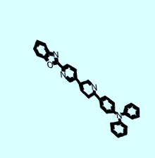 C1=NC(c2ccc(N(c3ccccc3)c3ccccc3)cc2)CC=C1c1ccc(-c2nc3ccccc3o2)nc1